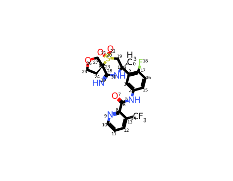 C[C@@]1(c2cc(NC(=O)c3ncccc3C(F)(F)F)ccc2F)CS(=O)(=O)[C@]2(CCOC2)C(=N)N1